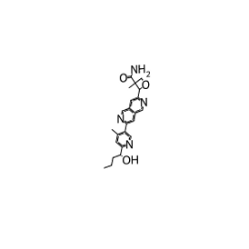 CCC[C@@H](O)c1cc(C)c(-c2cc3cnc(C4OCC4(C)C(N)=O)cc3cn2)cn1